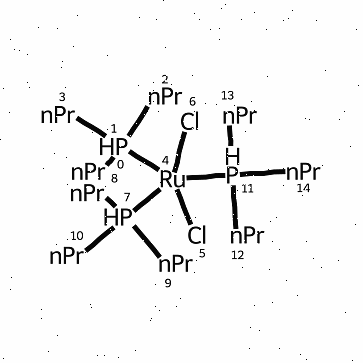 CCC[PH](CCC)(CCC)[Ru]([Cl])([Cl])([PH](CCC)(CCC)CCC)[PH](CCC)(CCC)CCC